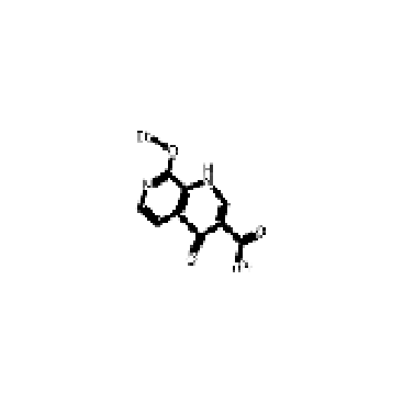 CCCC(=O)c1c[nH]c2c(OCC)nccc2c1=O